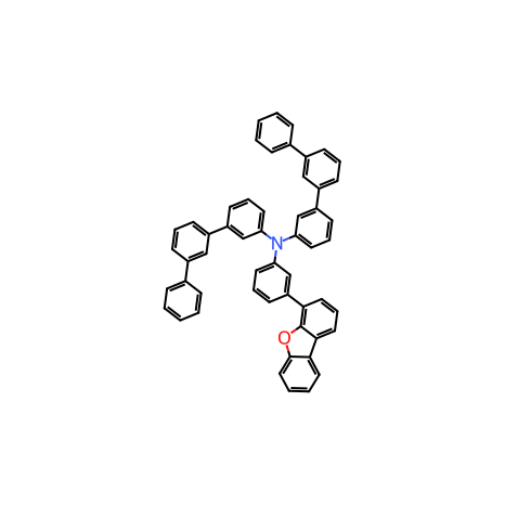 c1ccc(-c2cccc(-c3cccc(N(c4cccc(-c5cccc(-c6ccccc6)c5)c4)c4cccc(-c5cccc6c5oc5ccccc56)c4)c3)c2)cc1